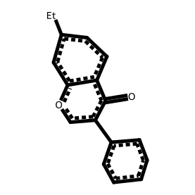 CCc1ccc2c(=O)c(-c3ccccc3)coc2c1